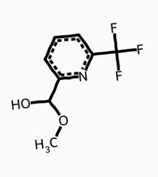 COC(O)c1cccc(C(F)(F)F)n1